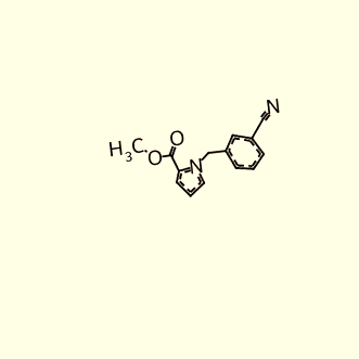 COC(=O)c1cccn1Cc1cccc(C#N)c1